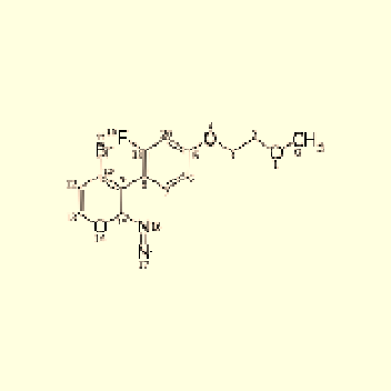 COCCOc1ccc(C2=C(Br)C=COC2N=[N])c(F)c1